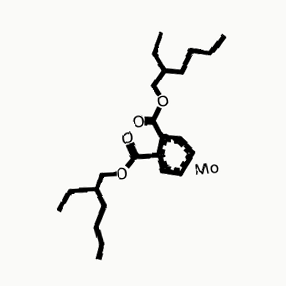 CCCCC(CC)COC(=O)c1ccccc1C(=O)OCC(CC)CCCC.[Mo]